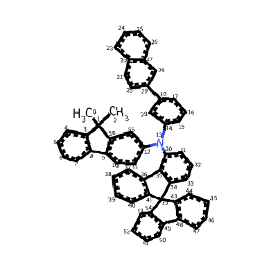 CC1(C)c2ccccc2-c2ccc(N(c3cccc(-c4ccc5ccccc5c4)c3)c3cccc4c3-c3ccccc3C43c4ccccc4-c4ccccc43)cc21